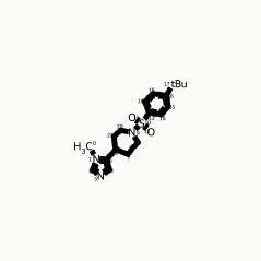 Cn1cncc1C1CCN(S(=O)(=O)c2ccc(C(C)(C)C)cc2)CC1